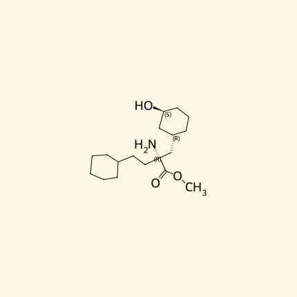 COC(=O)[C@@](N)(CCC1CCCCC1)C[C@H]1CCC[C@H](O)C1